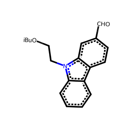 CC(C)COCCn1c2ccccc2c2ccc(C=O)cc21